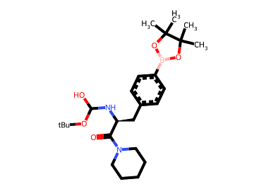 CC(C)(C)OC(O)N[C@@H](Cc1ccc(B2OC(C)(C)C(C)(C)O2)cc1)C(=O)N1CCCCC1